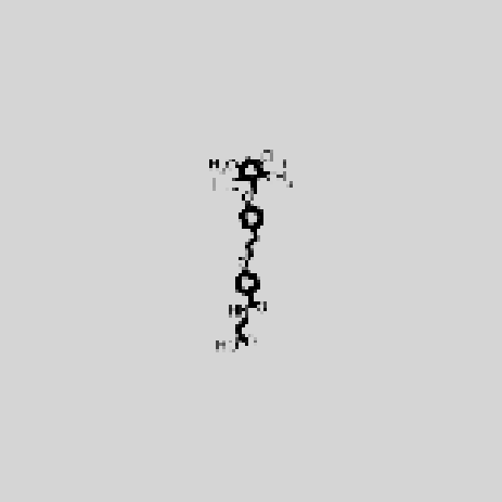 Cc1cc(C)c(C)c(COc2ccc(CCCOc3ccc(C(=O)NCCC(=O)O)cc3)cc2)c1C